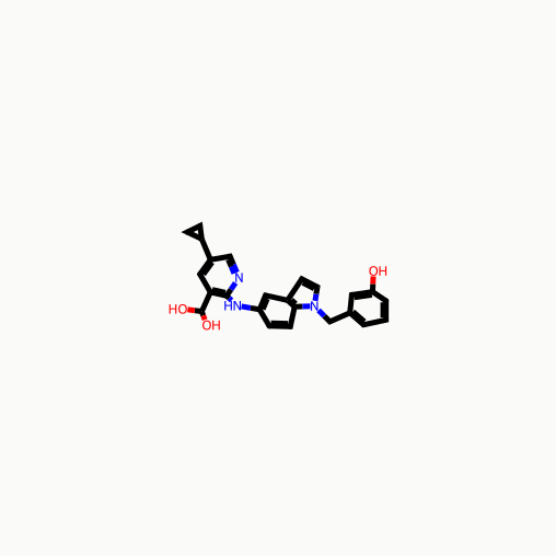 Oc1cccc(Cn2ccc3cc(Nc4ncc(C5CC5)cc4C(O)O)ccc32)c1